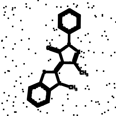 CC1=NN(c2ccccc2)C(=O)C1=C1Sc2ccccc2N1C